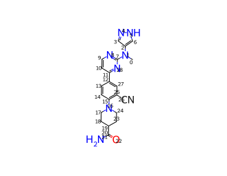 CN(c1cn[nH]c1)c1nccc(-c2ccc(N3CCC(C(N)=O)CC3)c(C#N)c2)n1